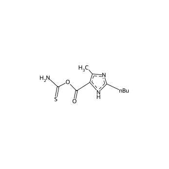 CCCCc1nc(C)c(C(=O)OC(N)=S)[nH]1